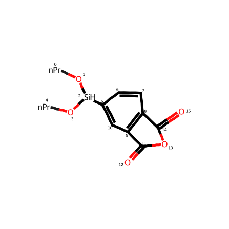 CCCO[SiH](OCCC)c1ccc2c(c1)C(=O)OC2=O